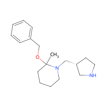 CC1(OCc2ccccc2)CCCCN1C[C@@H]1CCNC1